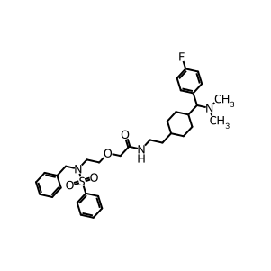 CN(C)C(c1ccc(F)cc1)C1CCC(CCNC(=O)COCCN(Cc2ccccc2)S(=O)(=O)c2ccccc2)CC1